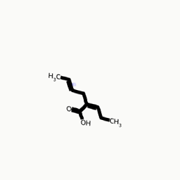 C/C=C/CC(=CCC)C(=O)O